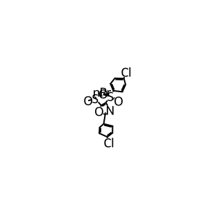 CCC[S+]([O-])c1oc(-c2ccc(Cl)cc2)nc1S(=O)(=O)c1ccc(Cl)cc1